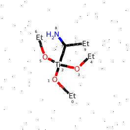 CC[O][Ti]([O]CC)([O]CC)[CH](N)CC